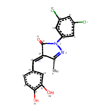 CC(C)(C)C1=NN(c2cc(Cl)cc(Cl)c2)C(=O)/C1=C/c1ccc(O)c(O)c1